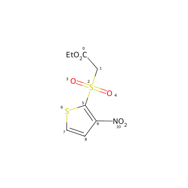 CCOC(=O)CS(=O)(=O)c1sccc1[N+](=O)[O-]